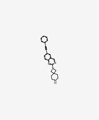 C(#Cc1ccc2nc(N3CC4(CCNCC4)C3)ncc2c1)c1ccccc1